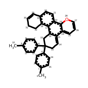 Cc1ccc(C2(c3ccc(C)cc3)CC=c3c(c4c5c(ccc4c4c3=CC=CO4)C=CCC5)C2)cc1